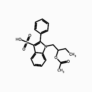 CCC(Cn1c(-c2ccccc2)c(S(=O)(=O)O)c2ccccc21)OC(C)=O